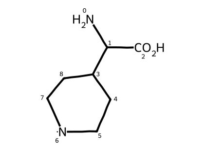 NC(C(=O)O)C1CC[N]CC1